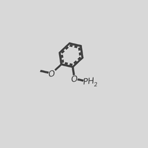 COc1ccccc1OP